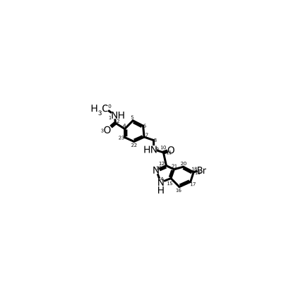 CNC(=O)c1ccc(CNC(=O)c2n[nH]c3ccc(Br)cc23)cc1